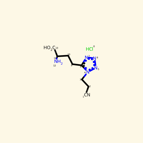 Cl.N#CCCn1nnnc1CCC(N)C(=O)O